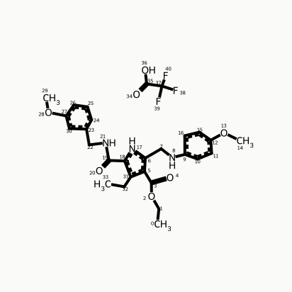 CCOC(=O)c1c(CNc2ccc(OC)cc2)[nH]c(C(=O)NCc2cccc(OC)c2)c1CC.O=C(O)C(F)(F)F